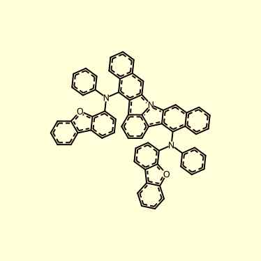 c1ccc(N(c2cccc3c2oc2ccccc23)c2c3ccccc3cc3c2c2cccc4c5c(N(c6ccccc6)c6cccc7c6oc6ccccc67)c6ccccc6cc5n3c24)cc1